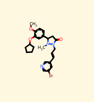 COc1ccc(C2CC(=O)N(C/C=C/c3cncc(Br)c3)N2C)cc1OC1CCCC1